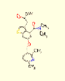 COC(=O)Cc1csc2cc(OCc3ccc(C)nc3C)cc(C(=O)N(C)C)c12